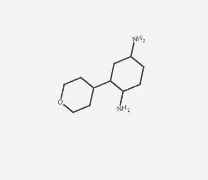 NC1CCC(N)C(C2CCOCC2)C1